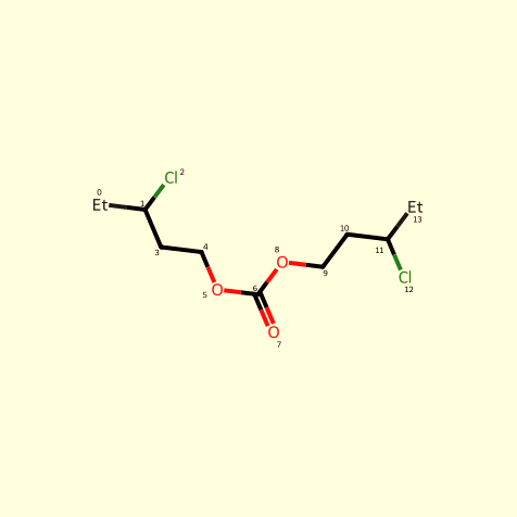 CCC(Cl)CCOC(=O)OCCC(Cl)CC